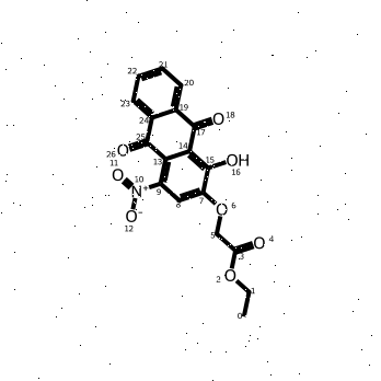 CCOC(=O)COc1cc([N+](=O)[O-])c2c(c1O)C(=O)c1ccccc1C2=O